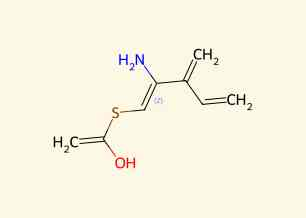 C=CC(=C)/C(N)=C/SC(=C)O